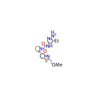 CCc1cc(NC(=O)C(=O)N2CCCC[C@H]2c2ccc3sc(CCOC)nc3c2)cnc1N